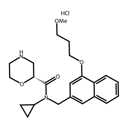 COCCCOc1cc(CN(C(=O)[C@H]2CNCCO2)C2CC2)cc2ccccc12.Cl